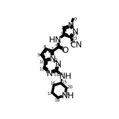 Cn1cc(NC(=O)c2ccc3cnc(N[C@@H]4CCCNC4)nn23)c(C#N)n1